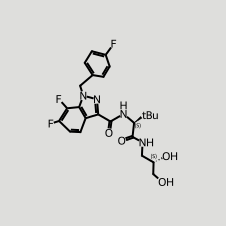 CC(C)(C)[C@H](NC(=O)c1nn(Cc2ccc(F)cc2)c2c(F)c(F)ccc12)C(=O)NC[C@H](O)CO